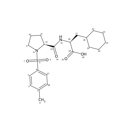 Cc1ccc(S(=O)(=O)N2CCC[C@H]2C(=O)N[C@@H](CC2CCCCC2)C(=O)O)cc1